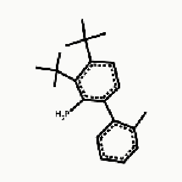 Cc1ccccc1-c1ccc(C(C)(C)C)c(C(C)(C)C)c1P